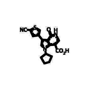 N#Cc1cc(-c2cn(C3CCCC3)c3c(C(=O)O)c[nH]c(=O)c23)cs1